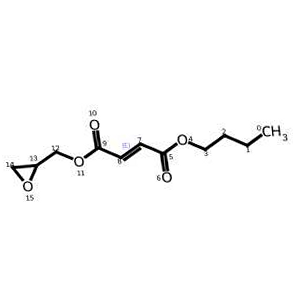 CCCCOC(=O)/C=C/C(=O)OCC1CO1